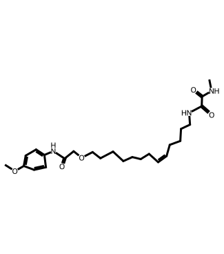 CNC(=O)C(=O)NCCCC/C=C\CCCCCCCOCC(=O)Nc1ccc(OC)cc1